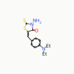 CCN(CC)c1ccc(/C=C2/SC(=S)N(N)C2=O)cc1